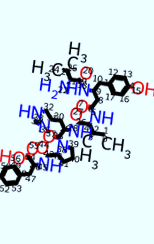 CCC(C)C(NC(=O)CC(Cc1ccc(O)cc1)NC(=O)C(N)C(C)C)C(=O)NC(CC1CNC=N1)C(=O)N1CCCC1C(=O)NC(Cc1ccccc1)C(=O)O